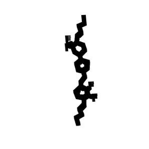 CCC/C=C/c1ccc(CCc2ccc(C3CCC(/C=C/CCC)C(F)(F)C3)cc2)c(F)c1F